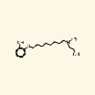 CCCN(CCO)CCCCCCCCOc1ccccc1O